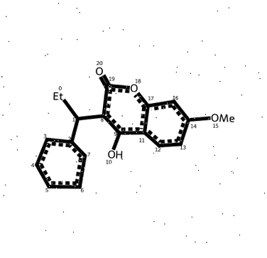 CCC(c1ccccc1)c1c(O)c2ccc(OC)cc2oc1=O